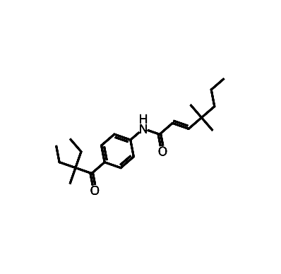 CCCC(C)(C)/C=C/C(=O)Nc1ccc(C(=O)C(C)(CC)CC)cc1